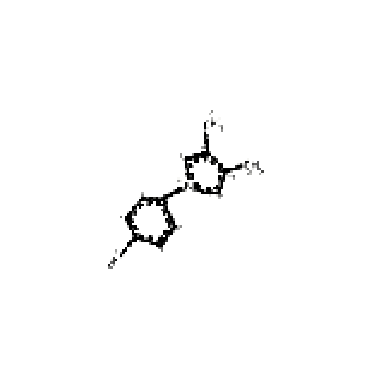 Cc1cn(-c2ccc(Br)cc2)cc1C